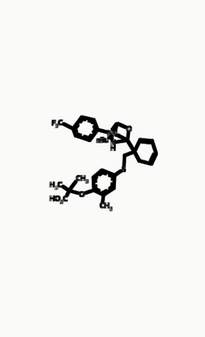 CCCCN1C2OC1(C1(CSc3ccc(OC(C)(C)C(=O)O)c(C)c3)C=CC=CC1)NN2c1ccc(C(F)(F)F)cc1